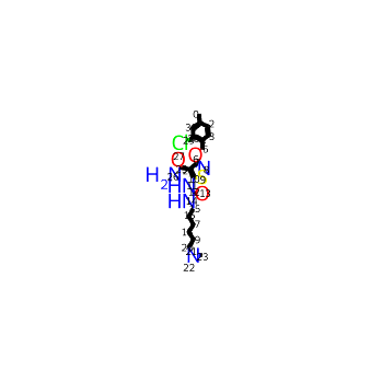 Cc1ccc(COc2nsc(NC(=O)NCCCCCCN(C)C)c2C(N)=O)c(Cl)c1